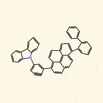 c1cc(-n2c3ccccc3c3ccccc32)cc(-c2ccc3ccc4c(-c5ccccc5-c5ccccc5)ccc5ccc2c3c54)c#1